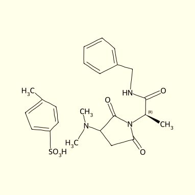 C[C@H](C(=O)NCc1ccccc1)N1C(=O)CC(N(C)C)C1=O.Cc1ccc(S(=O)(=O)O)cc1